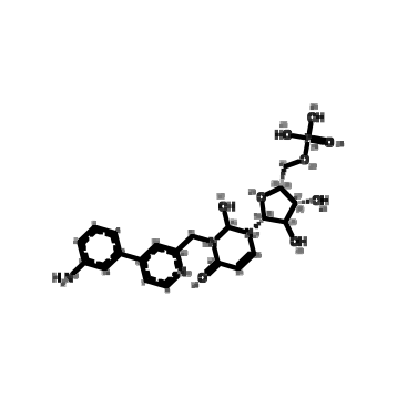 Nc1cccc(-c2ccnc(CN3C(=O)C=CN([C@@H]4O[C@H](COP(=O)(O)O)[C@H](O)C4O)C3O)c2)c1